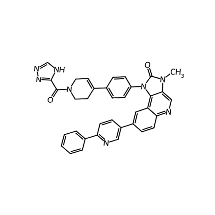 Cn1c(=O)n(-c2ccc(C3=CCN(C(=O)c4nnc[nH]4)CC3)cc2)c2c3cc(-c4ccc(-c5ccccc5)nc4)ccc3ncc21